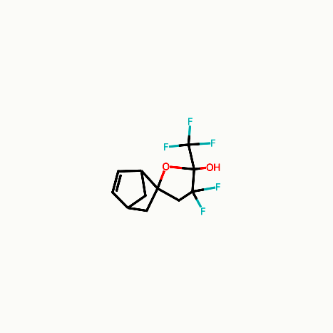 OC1(C(F)(F)F)OC2(CC3C=CC2C3)CC1(F)F